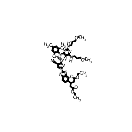 CCOC(=O)CC(CC(=O)OCC)c1ccc2nc(-n3cc(C#N)c(N=Nc4c(NCCCOC)nc(NCCCOC)nc4Nc4c(C)cc(C)cc4C)n3)sc2c1